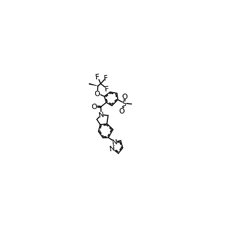 C[C@H](Oc1ccc(S(C)(=O)=O)cc1C(=O)N1Cc2ccc(-n3cccn3)cc2C1)C(F)(F)F